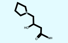 [NH]C(=O)CC(O)CN1CCCC1